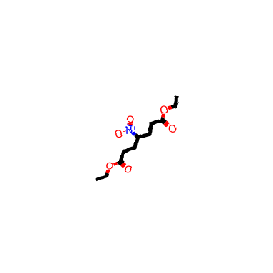 CCOC(=O)CCC(CCC(=O)OCC)[N+](=O)[O-]